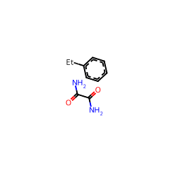 CCc1ccccc1.NC(=O)C(N)=O